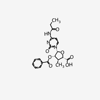 CCC(=O)Nc1ccn([C@@H]2O[C@H](C(=O)O)[C@@H](C)[C@@H]2OC(=O)c2ccccc2)c(=O)n1